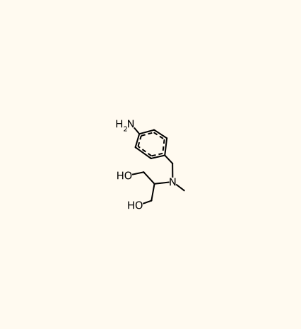 CN(Cc1ccc(N)cc1)C(CO)CO